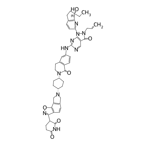 C=CCn1c(=O)c2cnc(Nc3ccc4c(c3)CCN([C@H]3CC[C@@H](N5Cc6ccc7c(C8CCC(=O)NC8=O)noc7c6C5)CC3)C4=O)nc2n1-c1ccc2c(n1)[C@@](O)(CC)CC2